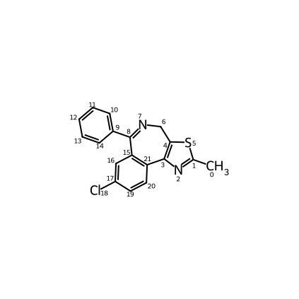 Cc1nc2c(s1)CN=C(c1ccccc1)c1cc(Cl)ccc1-2